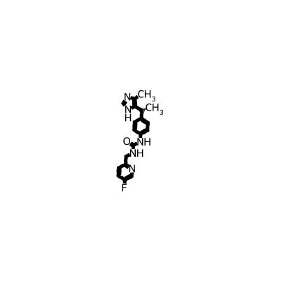 Cc1nc[nH]c1[C@H](C)c1ccc(NC(=O)NCc2ccc(F)cn2)cc1